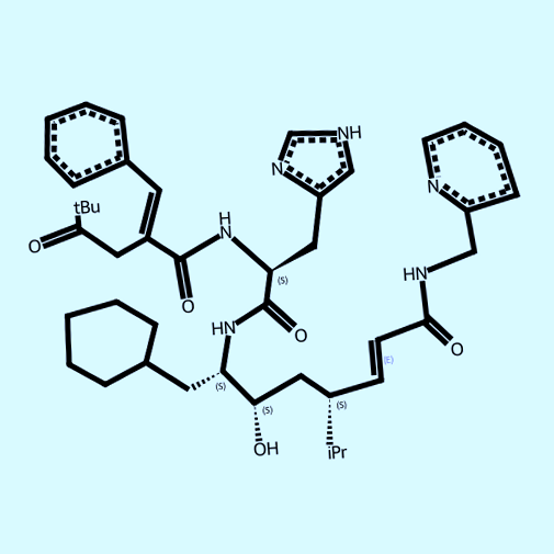 CC(C)[C@@H](/C=C/C(=O)NCc1ccccn1)C[C@H](O)[C@H](CC1CCCCC1)NC(=O)[C@H](Cc1c[nH]cn1)NC(=O)C(=Cc1ccccc1)CC(=O)C(C)(C)C